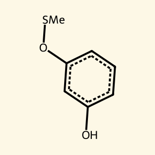 CSOc1cccc(O)c1